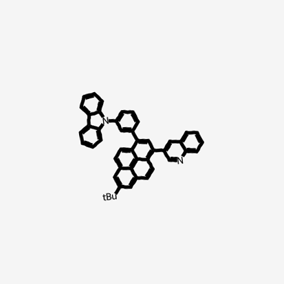 CC(C)(C)c1cc2ccc3c(-c4cccc(-n5c6ccccc6c6ccccc65)c4)cc(-c4cnc5ccccc5c4)c4ccc(c1)c2c34